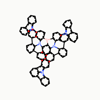 c1ccc(-c2cccc(-c3ccccc3)c2N2c3cc(-n4c5ccccc5c5ccccc54)ccc3B3c4ccc(-n5c6ccccc6c6ccccc65)cc4N(c4c(-c5ccccc5)cccc4-c4ccccc4)c4cc(-c5ccc6c(c5)c5cccc7c8ccccc8n6c75)cc2c43)cc1